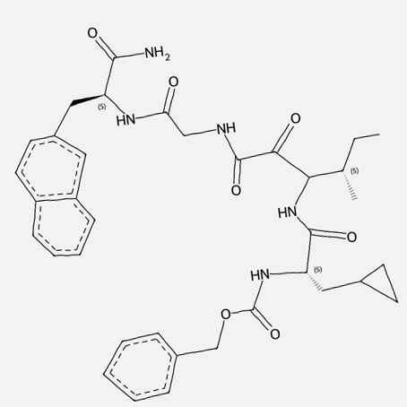 CC[C@H](C)C(NC(=O)[C@H](CC1CC1)NC(=O)OCc1ccccc1)C(=O)C(=O)NCC(=O)N[C@@H](Cc1ccc2ccccc2c1)C(N)=O